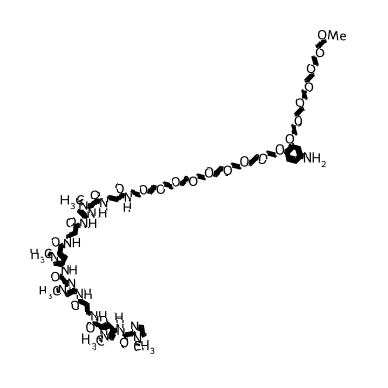 COCCOCCOCCOCCOCCOCCOc1cc(N)ccc1OCCOCCOCCOCCOCCOCCOCCOCCOCCNC(=O)CCNC(=O)c1nc(NC(=O)CCNC(=O)c2cc(NC(=O)c3nc(NC(=O)CCNC(=O)c4cc(NC(=O)c5nccn5C)cn4C)cn3C)cn2C)cn1C